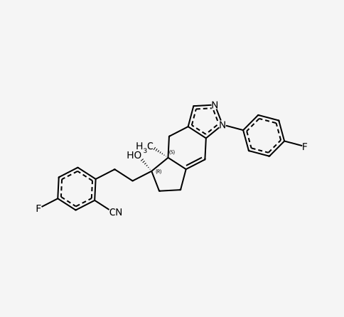 C[C@]12Cc3cnn(-c4ccc(F)cc4)c3C=C1CC[C@@]2(O)CCc1ccc(F)cc1C#N